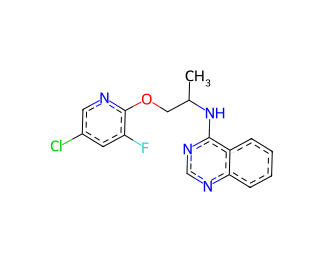 CC(COc1ncc(Cl)cc1F)Nc1ncnc2ccccc12